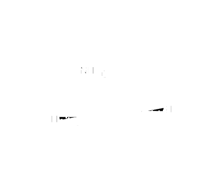 CC(C)NC1C2C3C[C@H]1C(Cl)[C@@H]32